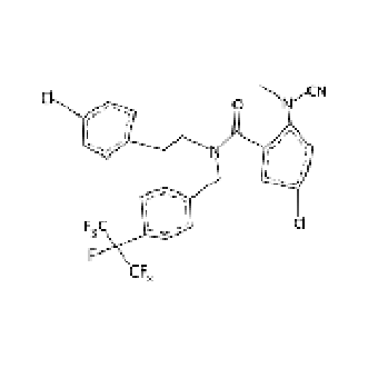 CN(C#N)c1ccc(Cl)cc1C(=O)N(CCc1ccc(Cl)cc1)Cc1ccc(C(F)(C(F)(F)F)C(F)(F)F)cc1